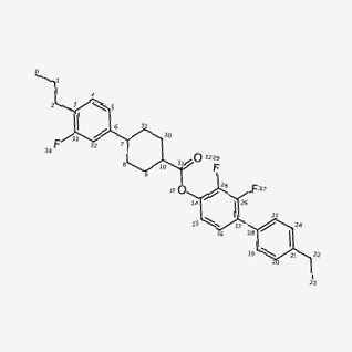 CCCc1ccc(C2CCC(C(=O)Oc3ccc(-c4ccc(CC)cc4)c(F)c3F)CC2)cc1F